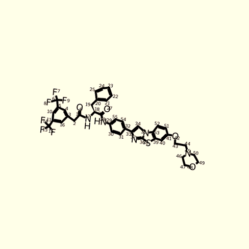 O=C(Cc1cc(C(F)(F)F)cc(C(F)(F)F)c1)N[C@@H](Cc1ccccc1)C(=O)Nc1ccc(-c2cn3c(n2)sc2cc(OCCN4CCOCC4)ccc23)cc1